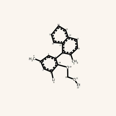 [Li][c]1cc(C)cc(-c2c(C)ccc3ccccc23)c1OCOCC